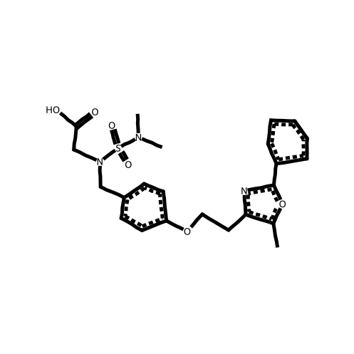 Cc1oc(-c2ccccc2)nc1CCOc1ccc(CN(CC(=O)O)S(=O)(=O)N(C)C)cc1